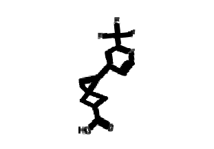 O=C(O)C1CC2(C1)CC2c1ccnc(C(F)(F)F)c1